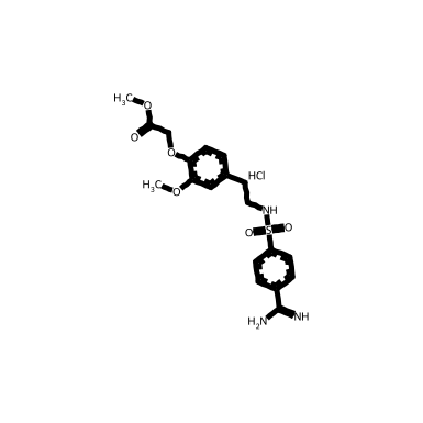 COC(=O)COc1ccc(CCNS(=O)(=O)c2ccc(C(=N)N)cc2)cc1OC.Cl